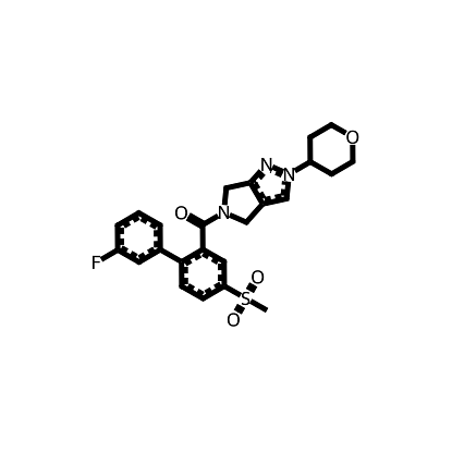 CS(=O)(=O)c1ccc(-c2cccc(F)c2)c(C(=O)N2Cc3cn(C4CCOCC4)nc3C2)c1